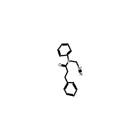 N#[N+]CN(C(=O)CCc1ccccc1)c1ccccc1